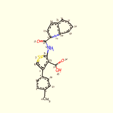 Cc1ccc(-c2csc(NC(=O)c3ccc4ccccc4n3)c2C(=O)O)cc1